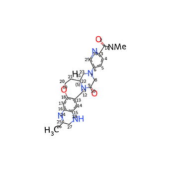 CNC(=O)c1ccc(N2CC(=O)N3Cc4cc5c(cc4OCC[C@H]3C2)N=C(C)CN5)cn1